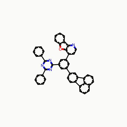 c1ccc(-c2nc(-c3ccccc3)nc(-c3cc(-c4ccc5c(c4)-c4cccc6cccc-5c46)cc(-c4ccnc5c4oc4ccccc45)c3)n2)cc1